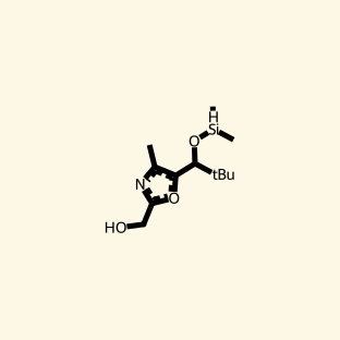 Cc1nc(CO)oc1C(O[SiH](C)C)C(C)(C)C